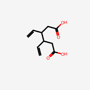 C=CC(CC(=O)O)C(C=C)CC(=O)O